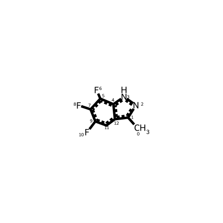 Cc1n[nH]c2c(F)c(F)c(F)cc12